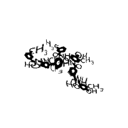 Cc1cccc(C(=O)Nc2cc(C(c3ccc(OOc4cc(O)c(C)cc4NC(=O)c4cccc(C(=O)Nc5cc(C)c(O)cc5O)c4)c(NC(=O)c4cccc(C)c4)c3)(C(F)(F)F)C(F)(F)F)ccc2O)c1